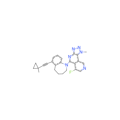 Cn1nnc2nc(N3CCCCc4c(C#CC5(C)CC5)cccc43)c3c(F)cncc3c21